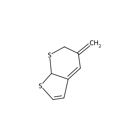 C=C1C=C2C=CSC2SC1